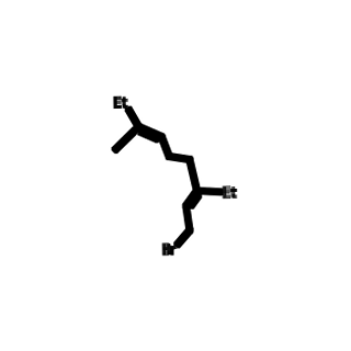 CCC(C)=CCCC(=CCBr)CC